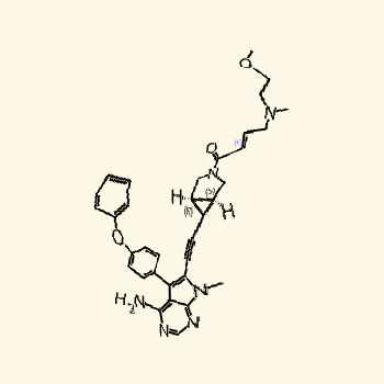 COCCN(C)C/C=C/C(=O)N1C[C@@H]2C(C#Cc3c(-c4ccc(Oc5ccccc5)cc4)c4c(N)ncnc4n3C)[C@@H]2C1